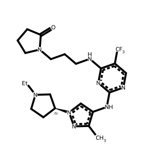 CCN1CC[C@H](n2cc(Nc3ncc(C(F)(F)F)c(NCCCN4CCCC4=O)n3)c(C)n2)C1